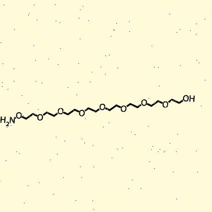 NOCCOCCOCCOCCOCCOCCOCCOCCO